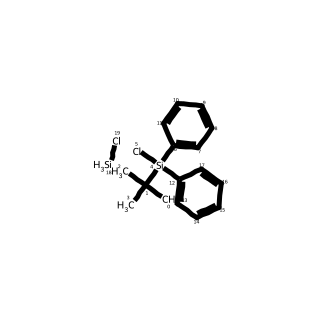 CC(C)(C)[Si](Cl)(c1ccccc1)c1ccccc1.[SiH3]Cl